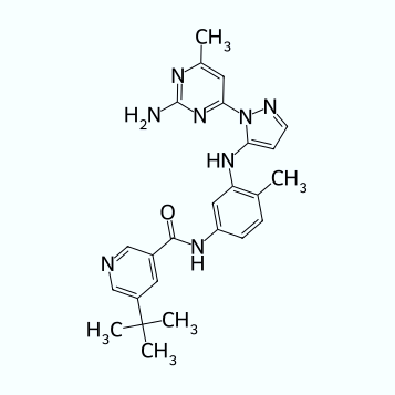 Cc1cc(-n2nccc2Nc2cc(NC(=O)c3cncc(C(C)(C)C)c3)ccc2C)nc(N)n1